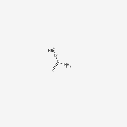 Br.C=C(N)Br